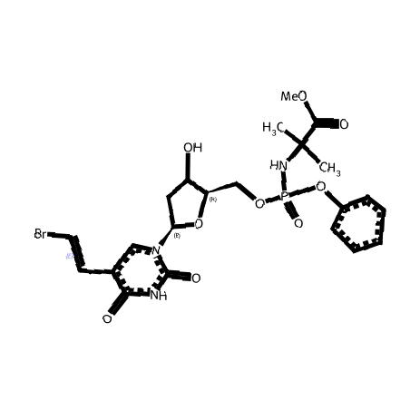 COC(=O)C(C)(C)NP(=O)(OC[C@H]1O[C@@H](n2cc(/C=C/Br)c(=O)[nH]c2=O)CC1O)Oc1ccccc1